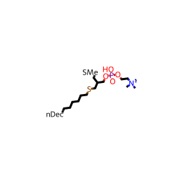 CCCCCCCCCCCCCCCCSCC(COP(=O)(O)OCC[N+](C)(C)C)CSC